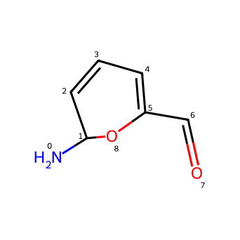 NC1C=CC=C(C=O)O1